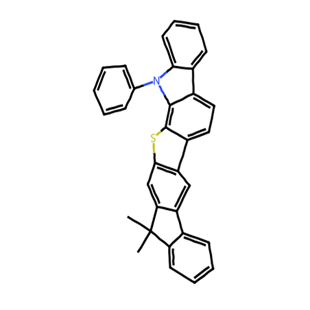 CC1(C)c2ccccc2-c2cc3c(cc21)sc1c3ccc2c3ccccc3n(-c3ccccc3)c21